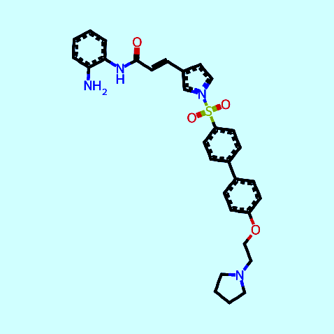 Nc1ccccc1NC(=O)C=Cc1ccn(S(=O)(=O)c2ccc(-c3ccc(OCCN4CCCC4)cc3)cc2)c1